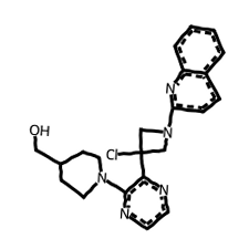 OCC1CCN(c2nccnc2C2(Cl)CN(c3ccc4ccccc4n3)C2)CC1